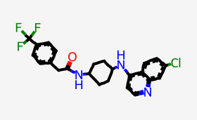 O=C(Cc1ccc(C(F)(F)F)cc1)NC1CCC(Nc2ccnc3cc(Cl)ccc23)CC1